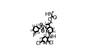 CNC(=O)OCc1cn(S(=O)(=O)c2cccc(F)c2)c2nc(Nc3ccc(Cl)nc3Cl)ccc12